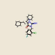 N=C1N[C@](CCC2CCCCC2)(CC2CCCCC2)C(=O)N1Cc1ccc(F)cc1Cl